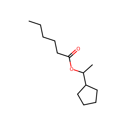 CCCCCC(=O)OC(C)C1CCCC1